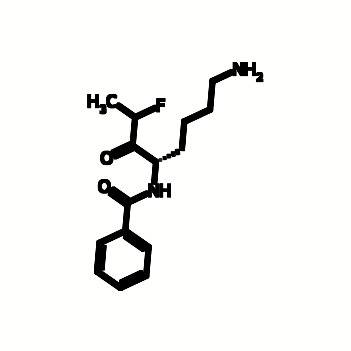 CC(F)C(=O)[C@H](CCCCN)NC(=O)c1ccccc1